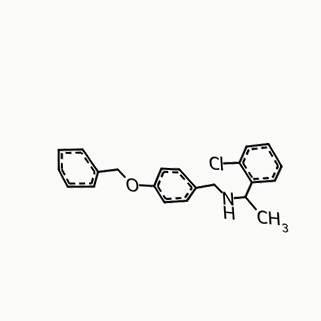 CC(NCc1ccc(OCc2ccccc2)cc1)c1ccccc1Cl